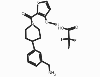 CCOc1ccsc1C(=O)N1CCC(c2cccc(CN)c2)CC1.O=C(O)C(F)(F)F